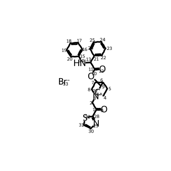 O=C(C[N+]12CCC(CC1)C(OC(=O)C(Nc1ccccc1)c1ccccc1)C2)c1nccs1.[Br-]